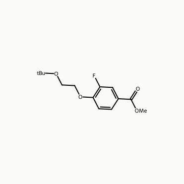 COC(=O)c1ccc(OCCOC(C)(C)C)c(F)c1